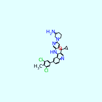 Cc1c(Cl)cc(-c2ccc3ncc(C(=O)C4CC4)c(Nc4ccc(N5CCC[C@H](N)C5)nc4)c3c2)cc1Cl